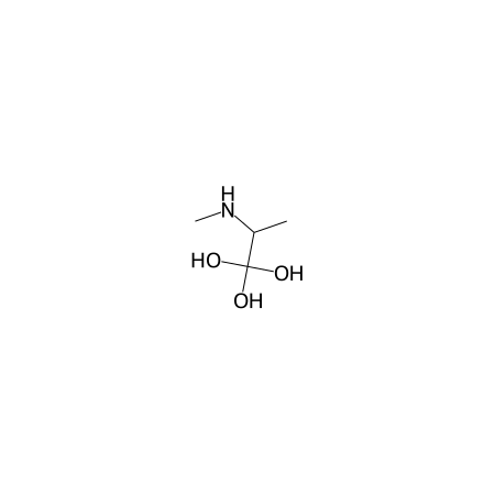 CNC(C)C(O)(O)O